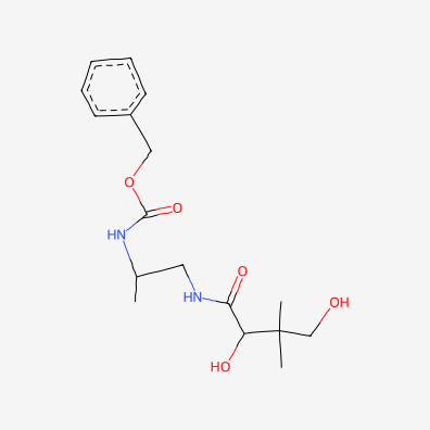 CC(CNC(=O)C(O)C(C)(C)CO)NC(=O)OCc1ccccc1